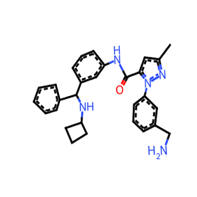 Cc1cc(C(=O)Nc2cccc(C(NC3CCC3)c3ccccc3)c2)n(-c2cccc(CN)c2)n1